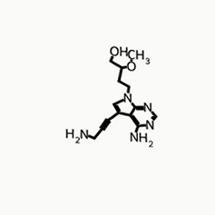 COC(CO)CCn1cc(C#CCN)c2c(N)ncnc21